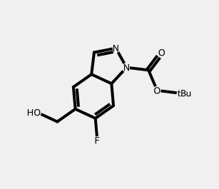 CC(C)(C)OC(=O)N1N=CC2C=C(CO)C(F)=CC21